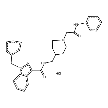 Cl.O=C(CN1CCC(CNC(=O)c2nn(Cc3ccccc3)c3ccccc23)CC1)Nc1ccccc1